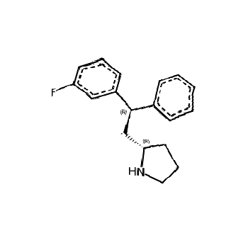 Fc1cccc([C@H]([CH][C@@H]2CCCN2)c2ccccc2)c1